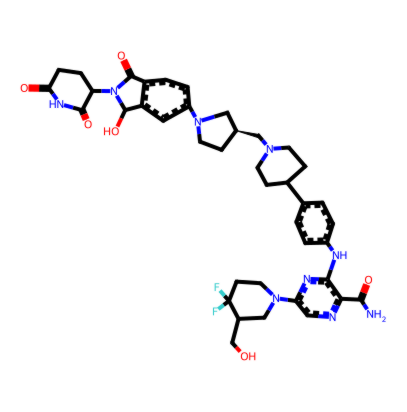 NC(=O)c1ncc(N2CCC(F)(F)C(CO)C2)nc1Nc1ccc(C2CCN(C[C@H]3CCN(c4ccc5c(c4)C(O)N(C4CCC(=O)NC4=O)C5=O)C3)CC2)cc1